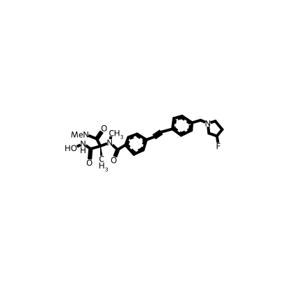 CNC(=O)[C@@](C)(C(=O)NO)N(C)C(=O)c1ccc(C#Cc2ccc(CN3CCC(F)C3)cc2)cc1